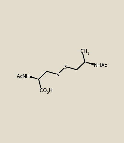 CC(=O)N[C@H](C)CSSC[C@H](NC(C)=O)C(=O)O